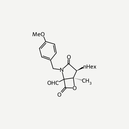 CCCCCC[C@@H]1C(=O)N(Cc2ccc(OC)cc2)C2(C=O)C(=O)O[C@]12C